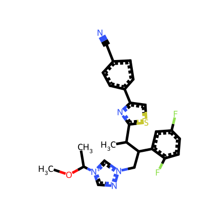 COC(C)[n+]1cnn(CC(c2cc(F)ccc2F)C(C)c2nc(-c3ccc(C#N)cc3)cs2)c1